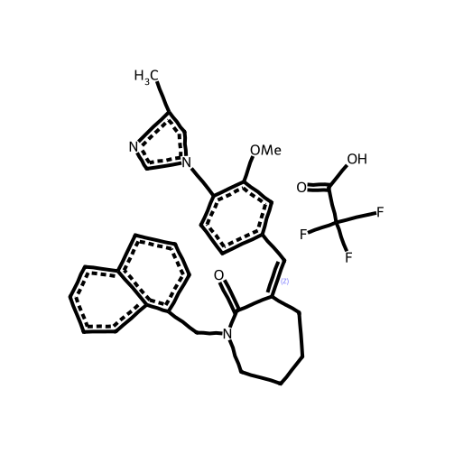 COc1cc(/C=C2/CCCCN(Cc3cccc4ccccc34)C2=O)ccc1-n1cnc(C)c1.O=C(O)C(F)(F)F